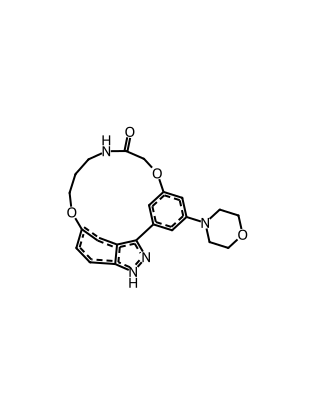 O=C1COc2cc(cc(N3CCOCC3)c2)-c2n[nH]c3ccc(cc23)OCCCN1